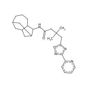 CC(C)(CC(=O)NC1C2CC3CCCC1C(C3)C2)Cc1nc(-c2ccccn2)no1